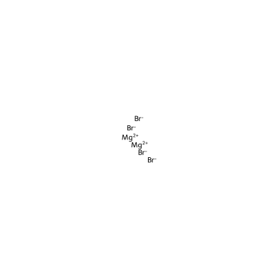 [Br-].[Br-].[Br-].[Br-].[Mg+2].[Mg+2]